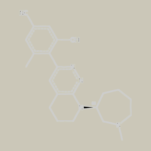 Cc1cc(C#N)cc(O)c1-c1cc2c(nn1)N([C@H]1CCCCN(C)C1)CCC2